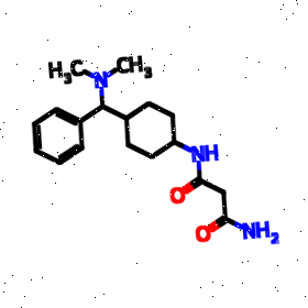 CN(C)C(c1ccccc1)C1CCC(NC(=O)CC(N)=O)CC1